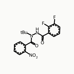 CC(C)(C)N(NC(=O)c1cccc(F)c1F)C(=O)c1ccccc1[N+](=O)[O-]